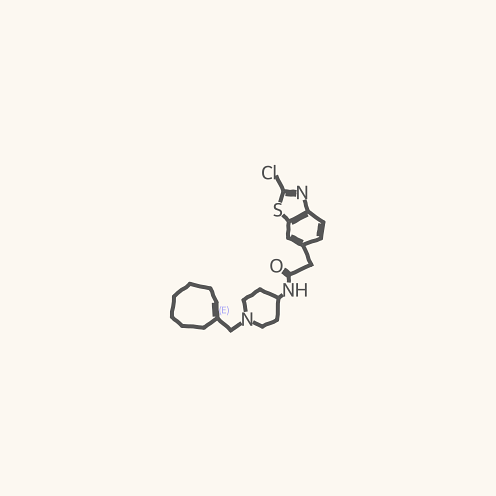 O=C(Cc1ccc2nc(Cl)sc2c1)NC1CCN(C/C2=C/CCCCCC2)CC1